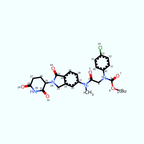 CN(C(=O)CN(C(=O)OC(C)(C)C)c1ccc(Cl)cc1)c1ccc2c(c1)CN(C1CCC(=O)NC1=O)C2=O